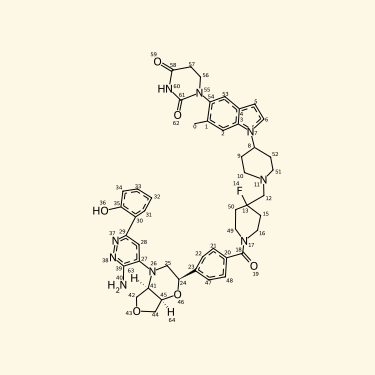 Cc1cc2c(ccn2C2CCN(CC3(F)CCN(C(=O)c4ccc([C@@H]5CN(c6cc(-c7ccccc7O)nnc6N)[C@@H]6COC[C@@H]6O5)cc4)CC3)CC2)cc1N1CCC(=O)NC1=O